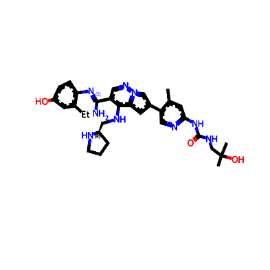 CCc1cc(O)ccc1/N=C(\N)c1cnn2cc(-c3cnc(NC(=O)NCC(C)(C)O)cc3C)cc2c1NC[C@H]1CCCN1